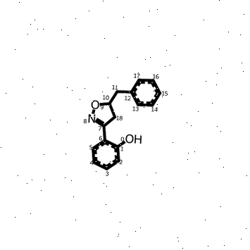 Oc1ccccc1C1=NOC(Cc2ccccc2)C1